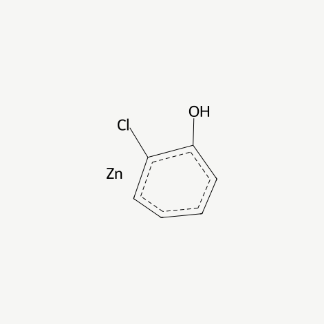 Oc1ccccc1Cl.[Zn]